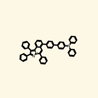 c1ccc(-c2nn3c(-c4ccccc4)cc4c(-c5ccc(-c6ccc(N(c7ccccc7)c7ccccc7)cc6)cc5)cccc4c3c2-c2ccccc2)cc1